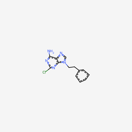 Nc1nc(Cl)nc2c1ncn2CCc1ccccc1